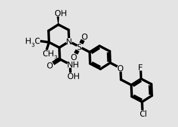 CC1(C)C[C@@H](O)CN(S(=O)(=O)c2ccc(OCc3cc(Cl)ccc3F)cc2)C1C(=O)NO